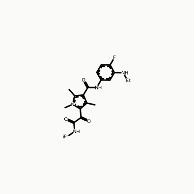 CCNc1cc(NC(=O)c2c(C)c(C(=O)C(=O)NC(C)C)n(C)c2C)ccc1F